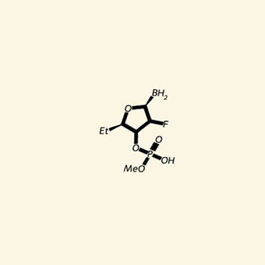 B[C@@H]1O[C@H](CC)C(OP(=O)(O)OC)C1F